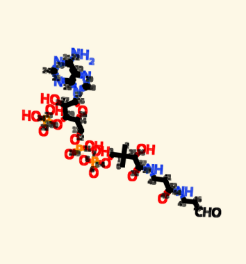 CC(C)(COP(=O)(O)OP(=O)(O)OCC1OC(n2cnc3c(N)ncnc32)C(O)C1OP(=O)(O)O)C(O)C(=O)NCCC(=O)NCCC=O